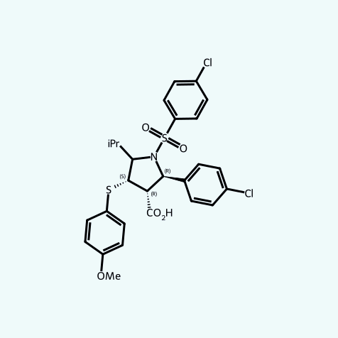 COc1ccc(S[C@@H]2C(C(C)C)N(S(=O)(=O)c3ccc(Cl)cc3)[C@@H](c3ccc(Cl)cc3)[C@@H]2C(=O)O)cc1